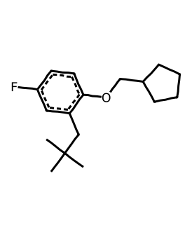 CC(C)(C)Cc1cc(F)ccc1OCC1CCCC1